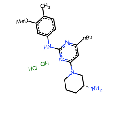 CCCCc1cc(N2CCC[C@@H](N)C2)nc(Nc2ccc(C)c(OC)c2)n1.Cl.Cl